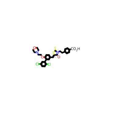 O=C(O)c1ccc(CCN2C(=O)/C(=C/c3ccc(OCCN4CCOCC4)c(-c4cc(Cl)ccc4Cl)c3)SC2=S)cc1